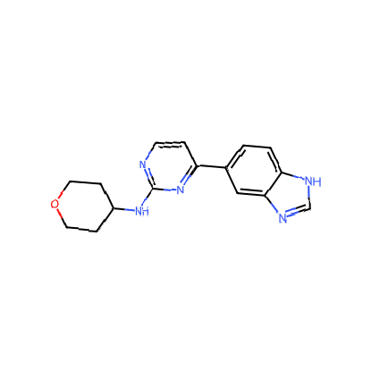 c1cc(-c2ccc3[nH]cnc3c2)nc(NC2CCOCC2)n1